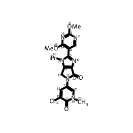 COc1ncc(-c2nc3c(n2C(C)C)CN(c2cc(Cl)c(=O)n(C)c2)C3=O)c(OC)n1